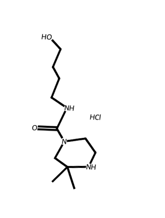 CC1(C)CN(C(=O)NCCCCO)CCN1.Cl